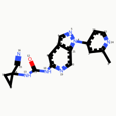 Cc1cc(-n2ncc3cc(NC(=O)NC4(C#N)CC4)ncc32)ccn1